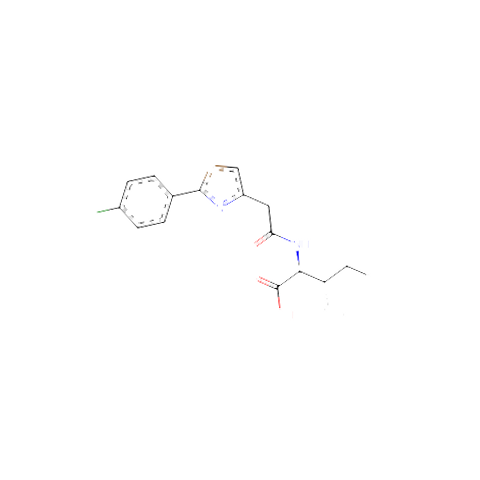 CC[C@H](C)[C@H](NC(=O)Cc1csc(-c2ccc(F)cc2)n1)C(=O)O